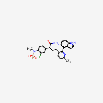 CN(c1ccc(C(CCc2ccc(C(F)(F)F)nc2-c2cccc3[nH]ccc23)C(N)=O)cc1F)[SH](=O)=O